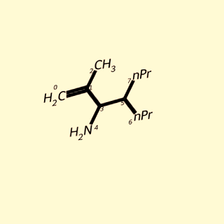 C=C(C)C(N)C(CCC)CCC